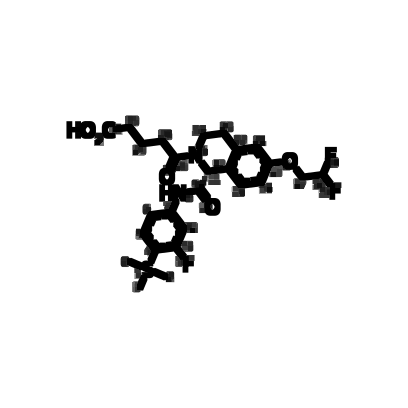 CS(C)(C)c1ccc(NC(=O)[C@H]2c3ccc(OCC(F)F)cc3CCN2C(=O)CCCC(=O)O)cc1F